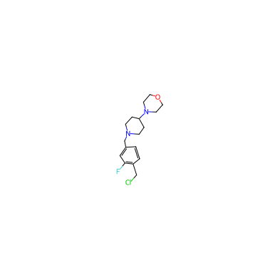 Fc1cc(CN2CCC(N3CCOCC3)CC2)ccc1CCl